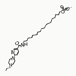 CCCN1CCN(c2ccc(C(=O)NCCCCCCCCCCCCCCCCCO[N+](=O)[O-])cn2)CC1